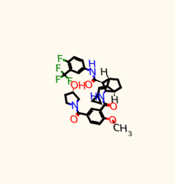 COc1ccc(C(=O)N2CC[C@H](O)C2)cc1C(=O)N[C@H]1[C@@H](C(=O)Nc2ccc(F)c(C(F)(F)F)c2)[C@H]2CC[C@@H]1/C2=C\C1CC1